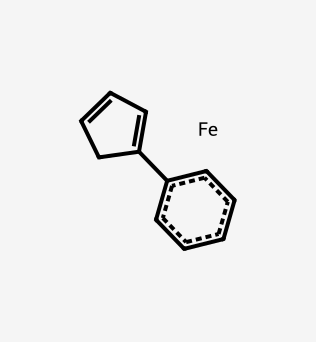 C1=CCC(c2ccccc2)=C1.[Fe]